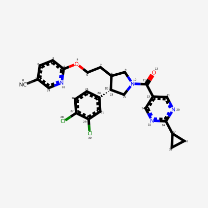 N#Cc1ccc(OCCC2CN(C(=O)c3cnc(C4CC4)nc3)C[C@@H]2c2ccc(Cl)c(Cl)c2)nc1